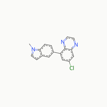 Cn1ccc2cc(-c3cc(Cl)cc4nccnc34)ccc21